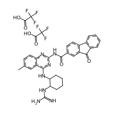 Cc1ccc2nc(NC(=O)c3ccc4c(c3)C(=O)c3ccccc3-4)nc(NC3CCCCC3NC(=N)N)c2c1.O=C(O)C(F)(F)F.O=C(O)C(F)(F)F